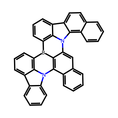 c1ccc2c3c4c(cc2c1)-n1c2c(cccc2c2ccc5ccccc5c21)B4c1cccc2c4ccccc4n-3c12